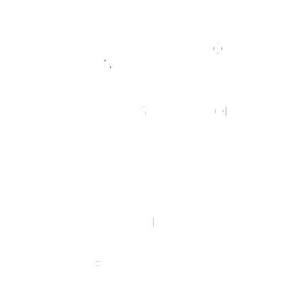 Cc1nc(Cc2ccc(F)c(F)c2)sc1C(=O)O